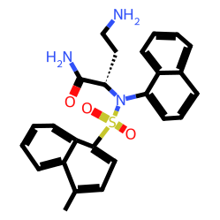 Cc1ccc(S(=O)(=O)N(c2cccc3ccccc23)[C@@H](CCN)C(N)=O)c2ccccc12